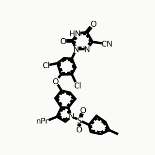 CCCc1cn(S(=O)(=O)c2ccc(C)cc2)c2ccc(Oc3c(Cl)cc(-n4nc(C#N)c(=O)[nH]c4=O)cc3Cl)cc12